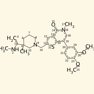 C=C(NC)C1(C)CCCN(Cc2cc3c(=O)n(C)cc(-c4ccc(OC)c(OC)c4)c3s2)C1